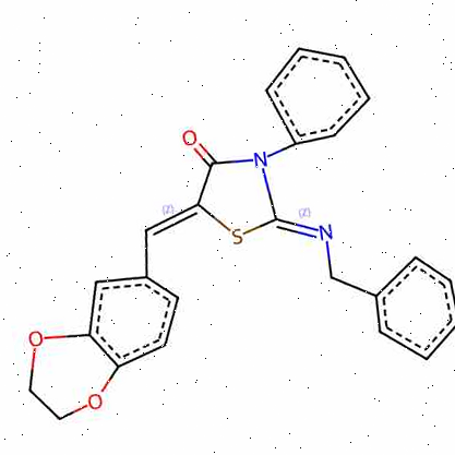 O=C1/C(=C/c2ccc3c(c2)OCCO3)S/C(=N\Cc2ccccc2)N1c1ccccc1